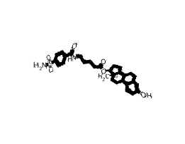 C[C@]12CCC3c4ccc(O)cc4CCC3C1CC[C@@H]2OC(=O)CCCCNC(=O)c1ccc(S(N)(=O)=O)cc1